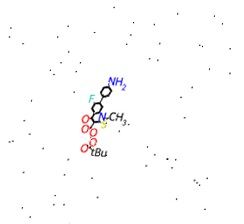 CC1Sc2c(C(=O)OCOC(=O)C(C)(C)C)c(=O)c3cc(F)c(-c4ccc(N)cc4)cc3n21